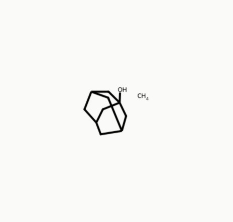 C.OC12CC3CC(CC(C3)C1)C2